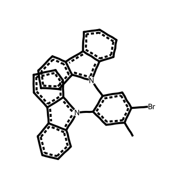 Cc1cc(-n2c3ccccc3c3ccccc32)c(-n2c3ccccc3c3ccccc32)cc1Br